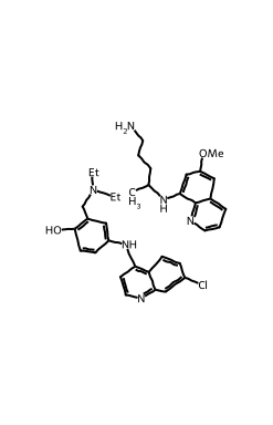 CCN(CC)Cc1cc(Nc2ccnc3cc(Cl)ccc23)ccc1O.COc1cc(NC(C)CCCN)c2ncccc2c1